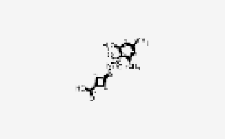 Cc1cc(C)c(S(=O)(=O)NN=C2CC(C(=O)O)C2)c(C)c1